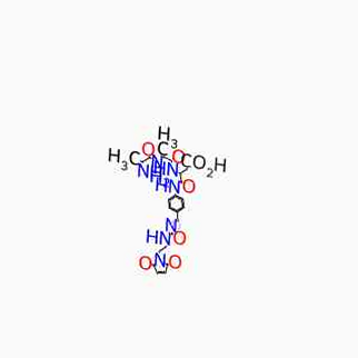 CC(N)C(=O)NC(C)C(=O)NC(CC(=O)O)C(=O)Nc1ccc(/C=N/C(=O)NCCN2C(=O)C=CC2=O)cc1